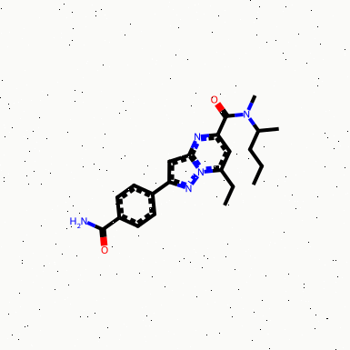 CCCC(C)N(C)C(=O)c1cc(CC)n2nc(-c3ccc(C(N)=O)cc3)cc2n1